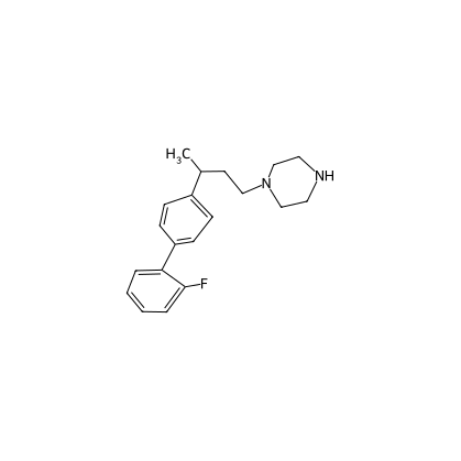 CC(CCN1CCNCC1)c1ccc(-c2ccccc2F)cc1